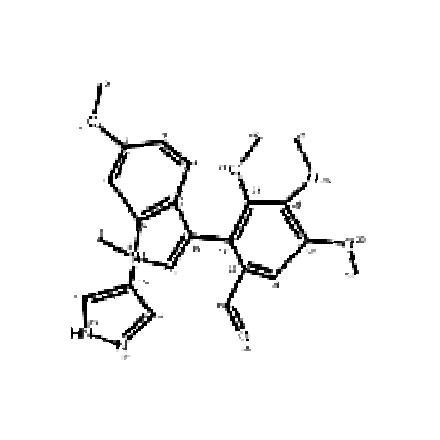 COc1ccc2c(c1)[N+](C)(c1cn[nH]c1)C=C2c1c(C=O)cc(OC)c(OC)c1OC